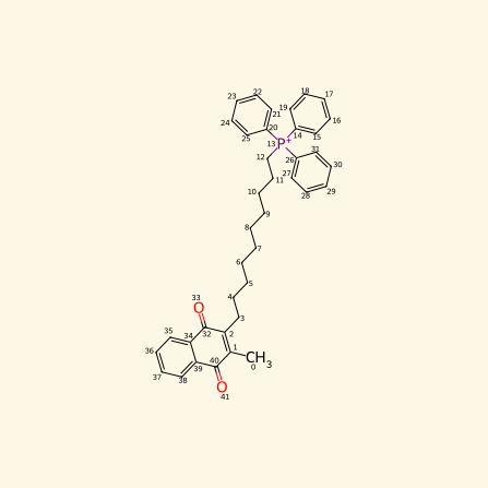 CC1=C(CCCCCCCCCC[P+](c2ccccc2)(c2ccccc2)c2ccccc2)C(=O)c2ccccc2C1=O